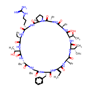 C/C=C1\NC(=O)[C@H](Cc2ccccc2)NC(=O)[C@@H]([C@H](C)CC)NC(=O)[C@H]([C@@H](C)CC)NC(=O)[C@@H]([C@@H](C)O)NC(=O)[C@@H](CC(C)C)NC(=O)[C@H](CCCNC(=N)N)NC(=O)[C@@H]2CCCN2C(=O)[C@H](C(C)C)NC(=O)[C@@H](C(C)C)NC(=O)[C@H]([C@H](C)O)NC(=O)[C@H]([C@H](C)OC(C)=O)NC(=O)[C@@H](C(C)C)NC1=O